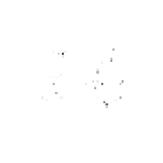 CC12CC3CC(C)(C1)CC(N)(C3)C2.O=C(O)/C=C/C(=O)O